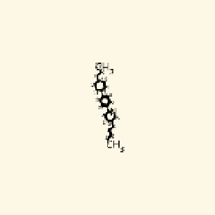 CCCCCc1ccc(-c2ccc([C@H]3CC[C@H](CCC)CC3)cc2)nc1